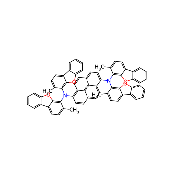 Cc1ccc2c(oc3ccccc32)c1N(c1ccc2ccc3c(N(c4c(C)ccc5c4oc4ccccc45)c4c(C)ccc5c4oc4ccccc45)ccc4ccc1c2c43)c1c(C)ccc2c1oc1ccccc12